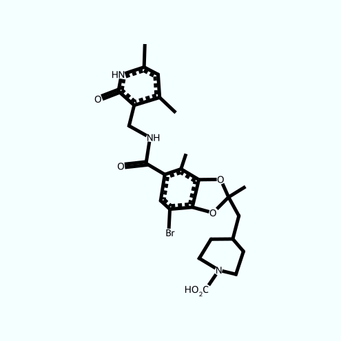 Cc1cc(C)c(CNC(=O)c2cc(Br)c3c(c2C)OC(C)(CC2CCN(C(=O)O)CC2)O3)c(=O)[nH]1